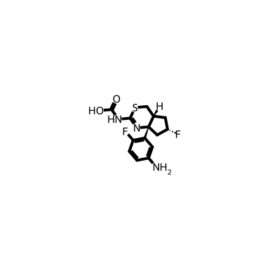 Nc1ccc(F)c([C@]23C[C@@H](F)C[C@H]2CSC(NC(=O)O)=N3)c1